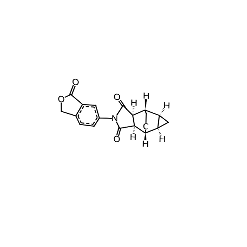 O=C1OCc2ccc(N3C(=O)[C@@H]4[C@@H]5CC[C@@H]([C@H]6C[C@H]65)[C@@H]4C3=O)cc21